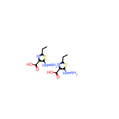 CCc1nc(C(=O)O)c(NN)s1.CCc1nc(C(=O)O)c(NN)s1